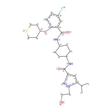 CC(C)c1cc(C(=O)NC2CCC(NC(=O)c3cc(F)cnc3OC3CCSCC3)CC2)nn1CCO